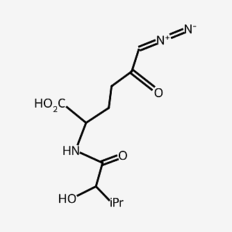 CC(C)C(O)C(=O)NC(CCC(=O)C=[N+]=[N-])C(=O)O